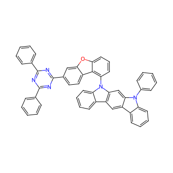 c1ccc(-c2nc(-c3ccccc3)nc(-c3ccc4c(c3)oc3cccc(-n5c6ccccc6c6cc7c8ccccc8n(-c8ccccc8)c7cc65)c34)n2)cc1